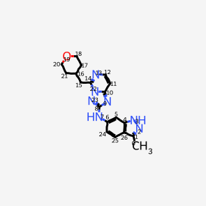 Cc1n[nH]c2cc(Nc3nc4ccnc(CC5CCOCC5)n4n3)ccc12